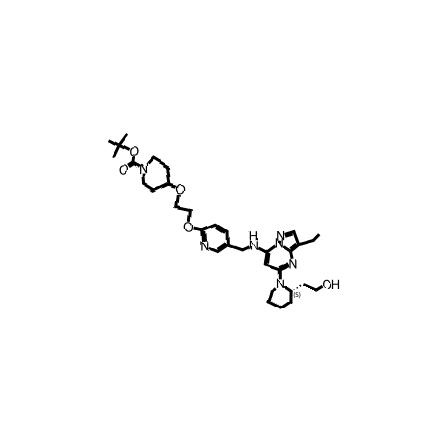 CCc1cnn2c(NCc3ccc(OCCOC4CCN(C(=O)OC(C)(C)C)CC4)nc3)cc(N3CCCC[C@H]3CCO)nc12